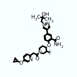 CC(C)(O)Cn1cc(-c2ccc(O[C@H]3CCN(C(=O)Cc4ccc(OC5CC5)cn4)CC3F)c(C(N)=O)c2)cn1